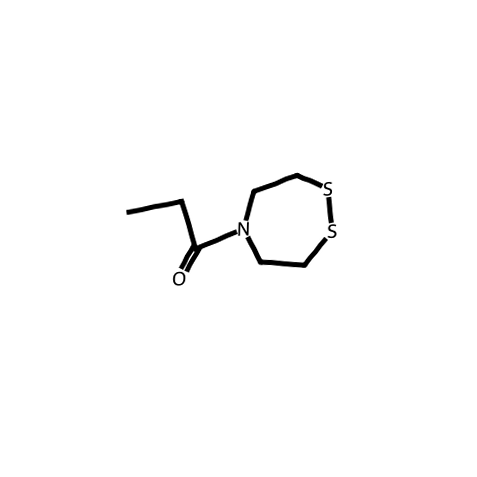 CCC(=O)N1CCSSCC1